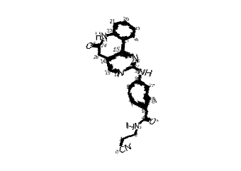 N#CCCNC(=O)c1ccc(Nc2ncc3c(n2)-c2ccccc2NC(=O)C3)cc1